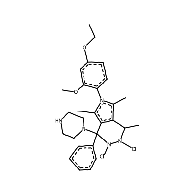 CCOc1ccc(-n2c(C)c3c(c2C)C(c2ccccc2)(N2CCNCC2)N(Cl)N(Cl)C3C)c(OC)c1